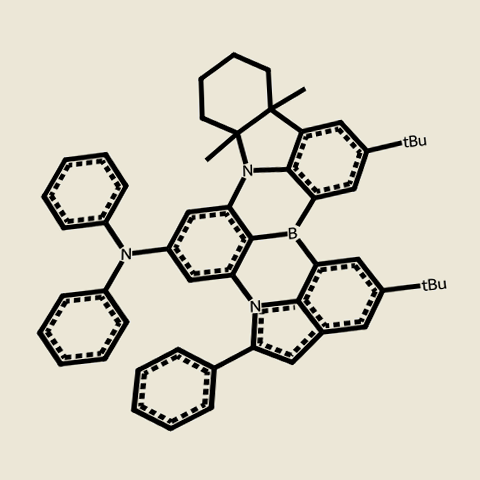 CC(C)(C)c1cc2c3c(c1)C1(C)CCCCC1(C)N3c1cc(N(c3ccccc3)c3ccccc3)cc3c1B2c1cc(C(C)(C)C)cc2cc(-c4ccccc4)n-3c12